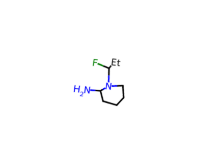 CCC(F)N1CCCCC1N